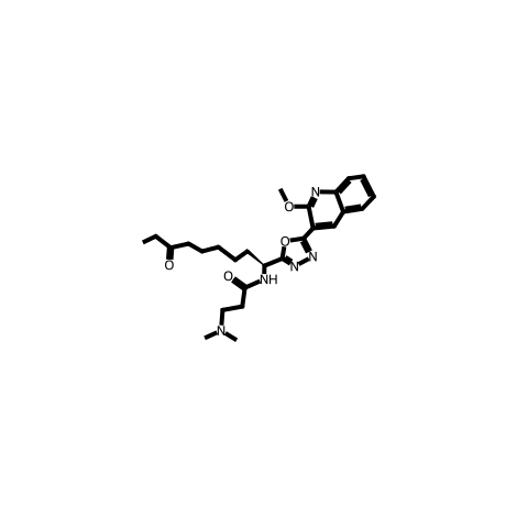 CCC(=O)CCCCC[C@H](NC(=O)CCN(C)C)c1nnc(-c2cc3ccccc3nc2OC)o1